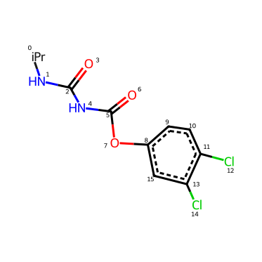 CC(C)NC(=O)NC(=O)Oc1ccc(Cl)c(Cl)c1